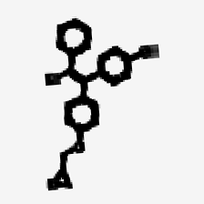 CCC(=C(c1ccc(O)cc1)c1ccc(OCC2CO2)cc1)c1ccccc1